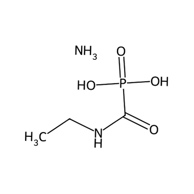 CCNC(=O)P(=O)(O)O.N